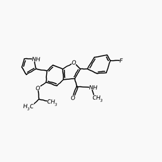 CNC(=O)c1c(-c2ccc(F)cc2)oc2cc(-c3ccc[nH]3)c(OC(C)C)cc12